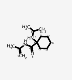 C=C(C)NC(=O)C1(NC(C)C)CCCCC1